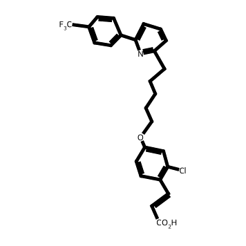 O=C(O)/C=C/c1ccc(OCCCCCc2cccc(-c3ccc(C(F)(F)F)cc3)n2)cc1Cl